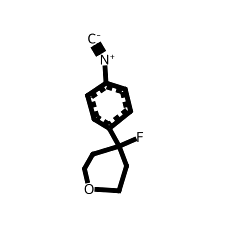 [C-]#[N+]c1ccc(C2(F)CCOCC2)cc1